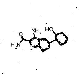 NC(=O)c1oc2ccc(-c3ccccc3O)cc2c1N